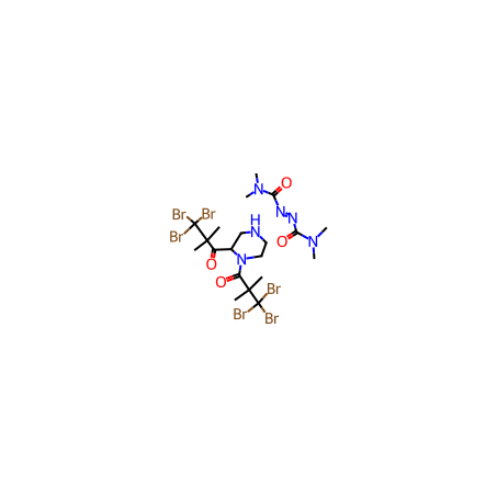 CC(C)(C(=O)C1CNCCN1C(=O)C(C)(C)C(Br)(Br)Br)C(Br)(Br)Br.CN(C)C(=O)N=NC(=O)N(C)C